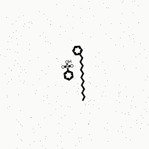 CCCCCCCCCCCCc1ccccc1.O=S(=O)(O)c1ccccc1